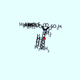 N.N.O.O.O.O.O.O.O.O.O.O.O.O.O=C(/C=C\C(=O)OS(=O)(=O)O)OS(=O)(=O)O.[AlH3].[AlH3]